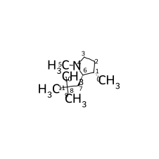 C[C@H]1CCN(C)[C@@H]1CC(C)(C)C